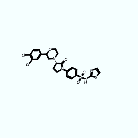 O=C1[C@@H](N2CCOC(c3ccc(Cl)c(Cl)c3)C2)CCN1c1ccc(S(=O)(=O)Nc2nccs2)cc1